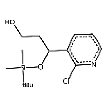 CC(C)(C)[Si](C)(C)OC(CCO)c1cccnc1Cl